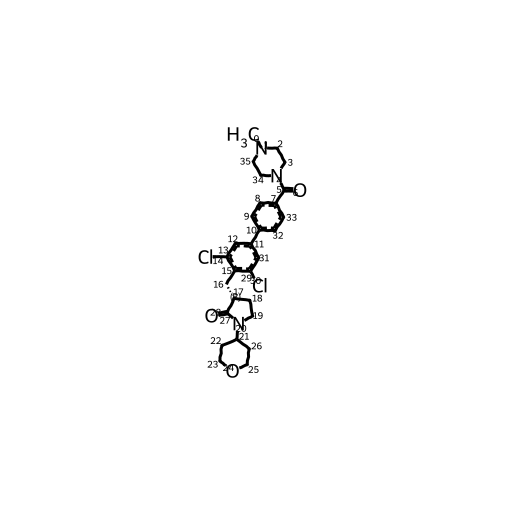 CN1CCN(C(=O)c2ccc(-c3cc(Cl)c(C[C@@H]4CCN(C5CCOCC5)C4=O)c(Cl)c3)cc2)CC1